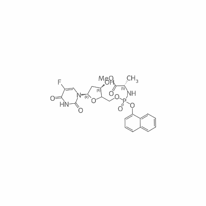 COC(=O)[C@H](C)NP(=O)(OCC1O[C@@H](n2cc(F)c(=O)[nH]c2=O)C[C@H]1O)Oc1cccc2ccccc12